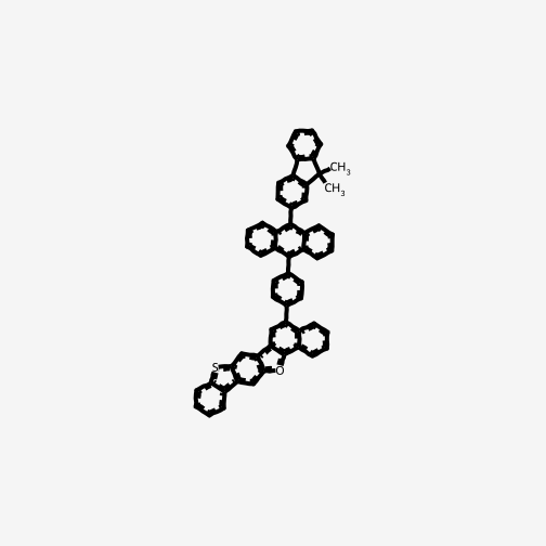 CC1(C)c2ccccc2-c2ccc(-c3c4ccccc4c(-c4ccc(-c5cc6c7cc8sc9ccccc9c8cc7oc6c6ccccc56)cc4)c4ccccc34)cc21